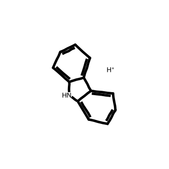 [H+].c1ccc2c(c1)[nH]c1ccccc12